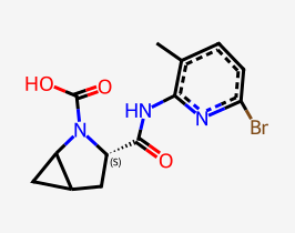 Cc1ccc(Br)nc1NC(=O)[C@@H]1CC2CC2N1C(=O)O